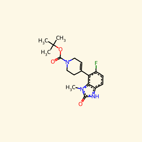 Cn1c(=O)[nH]c2ccc(F)c(C3=CCN(C(=O)OC(C)(C)C)CC3)c21